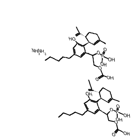 C=C(C)[C@@H]1CCC(C)=C[C@H]1c1c(O)cc(CCCCC)cc1C(COC(=O)O)OP(=O)(O)O.C=C(C)[C@@H]1CCC(C)=C[C@H]1c1c(O)cc(CCCCC)cc1C(COC(=O)O)OP(=O)(O)O.N.N